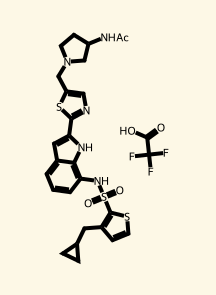 CC(=O)NC1CCN(Cc2cnc(-c3cc4cccc(NS(=O)(=O)c5sccc5CC5CC5)c4[nH]3)s2)C1.O=C(O)C(F)(F)F